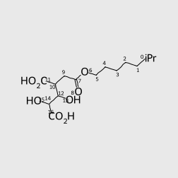 CC(C)CCCCCOC(=O)CC(C(=O)O)C(O)C(O)C(=O)O